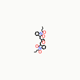 CCCC(=O)N1C(=O)C(=Cc2ccoc2/C=C2/C(=O)N(C(=O)CCC)c3ccccc32)c2ccccc21